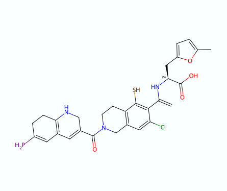 C=C(N[C@@H](Cc1ccc(C)o1)C(=O)O)c1c(Cl)cc2c(c1S)CCN(C(=O)C1=CC3=C(CCC(P)=C3)NC1)C2